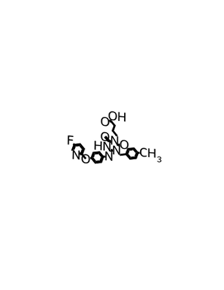 Cc1ccc(Cn2c(=O)n(CCCC(=O)O)c(=O)[nH]/c2=N\c2ccc(Oc3ccc(F)cn3)cc2)cc1